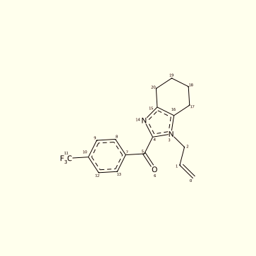 C=CCn1c(C(=O)c2ccc(C(F)(F)F)cc2)nc2c1CCCC2